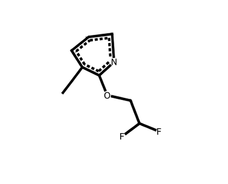 Cc1c[c]cnc1OCC(F)F